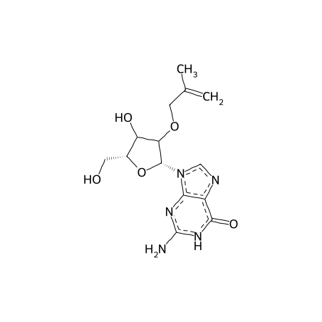 C=C(C)COC1C(O)[C@@H](CO)O[C@H]1n1cnc2c(=O)[nH]c(N)nc21